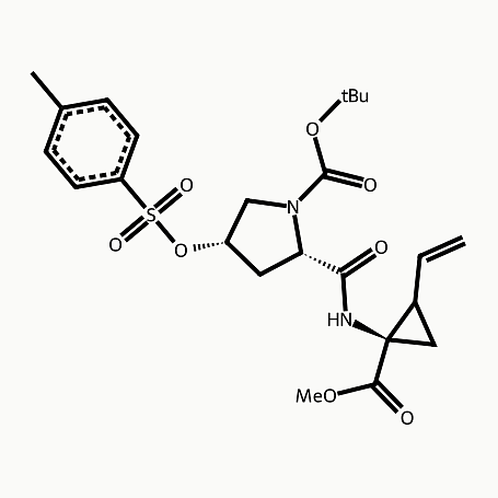 C=CC1C[C@]1(NC(=O)[C@@H]1C[C@H](OS(=O)(=O)c2ccc(C)cc2)CN1C(=O)OC(C)(C)C)C(=O)OC